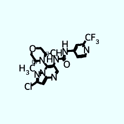 C[C@H]1COC[C@H](C)N1c1c(NC(=O)Nc2ccnc(C(F)(F)F)c2)cnc2cc(Cl)nn12